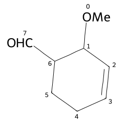 COC1C=CCCC1C=O